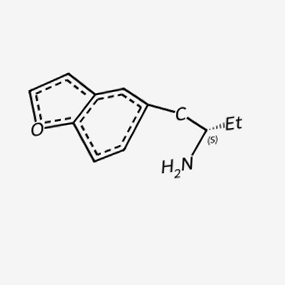 CC[C@H](N)Cc1ccc2occc2c1